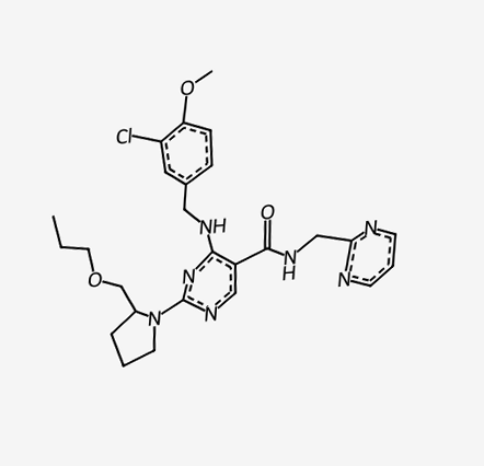 CCCOCC1CCCN1c1ncc(C(=O)NCc2ncccn2)c(NCc2ccc(OC)c(Cl)c2)n1